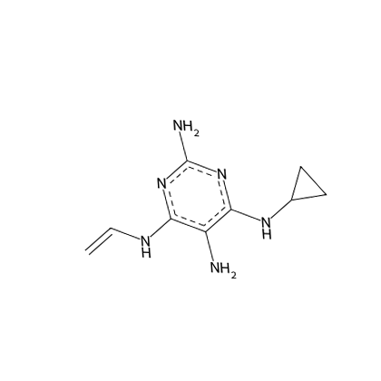 C=CNc1nc(N)nc(NC2CC2)c1N